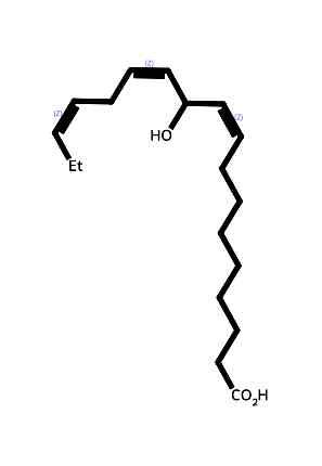 CC/C=C\C/C=C\C(O)/C=C\CCCCCCCC(=O)O